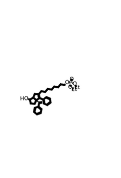 C=C(c1ccccc1)[C@@]12CCC(O)C1CC(CCCCCCCCOP(=O)(OCC)OCC)=C2c1ccccc1